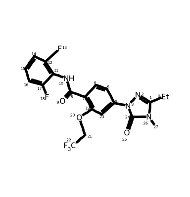 CCc1nn(-c2ccc(C(=O)Nc3c(F)cccc3F)c(OCC(F)(F)F)c2)c(=O)n1C